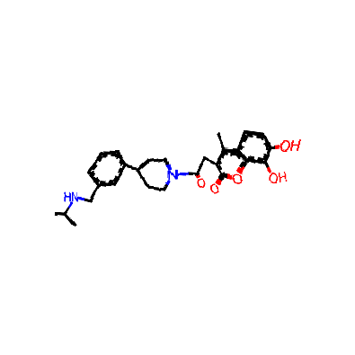 Cc1c(CC(=O)N2CCC(c3cccc(CNC(C)C)c3)CC2)c(=O)oc2c(O)c(O)ccc12